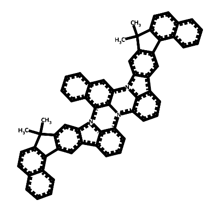 CC1(C)c2cc3c(cc2-c2c1ccc1ccccc21)c1cccc2c1n3c1cc3ccccc3c3c1-n2c1cccc2c4cc5c(cc4n3c21)C(C)(C)c1ccc2ccccc2c1-5